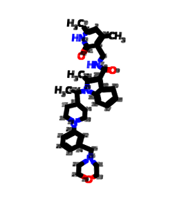 Cc1cc(C)c(CNC(=O)c2c(C)n([C@H](C)C3CCN(c4cccc(CN5CCOCC5)c4)CC3)c3ccccc23)c(=O)[nH]1